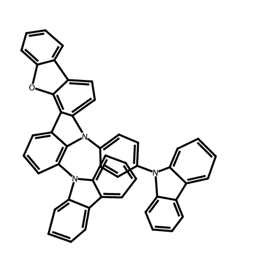 c1ccc2c(c1)oc1c2ccc2c1c1cccc(-n3c4ccccc4c4ccccc43)c1n2-c1ccc(-n2c3ccccc3c3ccccc32)cc1